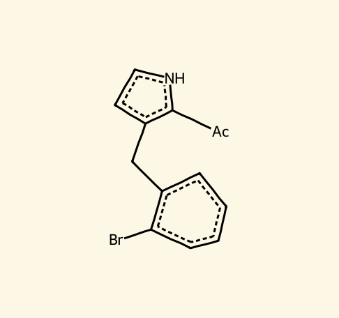 CC(=O)c1[nH]ccc1Cc1ccccc1Br